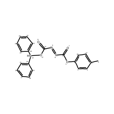 Cc1ccc(OC(=O)N=NC(=O)O[SiH](c2ccccc2)c2ccccc2)cc1